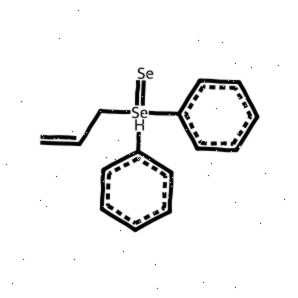 C=CC[SeH](=[Se])(c1ccccc1)c1ccccc1